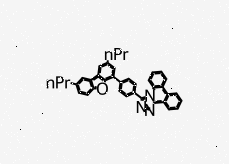 CCCc1ccc2oc3c(-c4ccc(-c5nnc6c7ccccc7c7ccccc7n56)cc4)cc(CCC)cc3c2c1